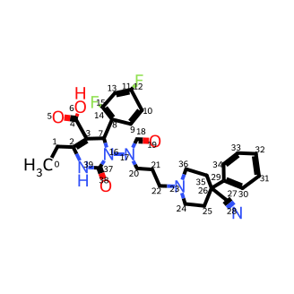 CCC1=C(C(=O)O)C(c2ccc(F)cc2F)N(N(C=O)CCCN2CCC(C#N)(c3ccccc3)CC2)C(=O)N1